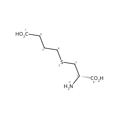 N[C@H](CSCCCC(=O)O)C(=O)O